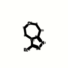 CCc1nnc2n1CCOCC2